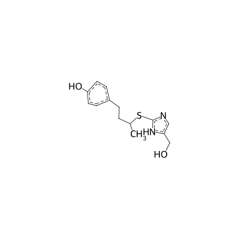 CC(CCc1ccc(O)cc1)Sc1ncc(CO)[nH]1